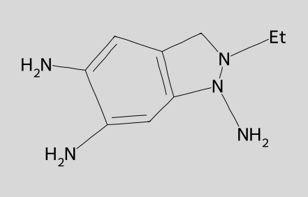 CCN1Cc2cc(N)c(N)cc2N1N